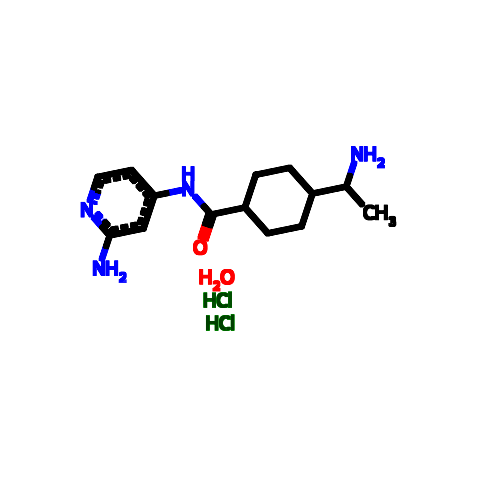 CC(N)C1CCC(C(=O)Nc2ccnc(N)c2)CC1.Cl.Cl.O